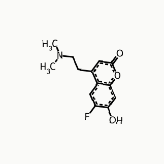 CN(C)CCc1cc(=O)oc2cc(O)c(F)cc12